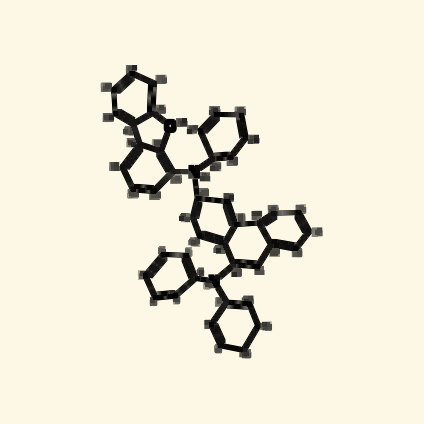 C1=CC(N(c2ccccc2)c2cc3ccccc3c3cc(N(c4ccccc4)c4cccc5c4oc4ccccc45)ccc23)=CCC1